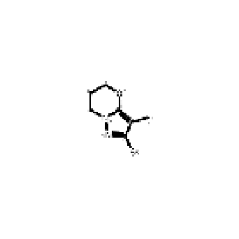 CC(=O)c1nn2c(c1Br)OCCC2